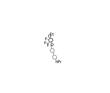 CCCC1CCC(C2CCC(COc3ccc(OCC)c(F)c3C(F)F)CC2)CC1